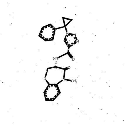 CN1C(=O)[C@@H](NC(=O)c2cn(C3(c4ccccc4)CC3)nn2)COc2ccccc21